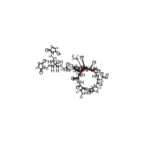 CC[C@H](C)[C@@H]1NC(=O)CNC(=O)[C@@H]2Cc3c([nH]c4ccc(NC(=O)CCNC(O)(NCCN5C(=O)C=CC5=O)NCCN5C(=O)C=CC5=O)cc34)SC[C@H](NC(=O)CNC1=O)C(=O)N[C@@H](CC(=O)OC)C(=O)N1CCC[C@H]1C(=O)N[C@@H]([C@@H](C)CC)C(=O)N2